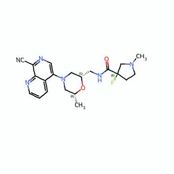 C[C@@H]1CN(c2cnc(C#N)c3ncccc23)C[C@H](CNC(=O)[C@@]2(F)CCN(C)C2)O1